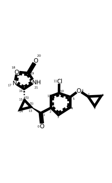 O=C(c1ccc(OC2CC2)c(Cl)c1)[C@H]1C[C@@H]1c1noc(=O)[nH]1